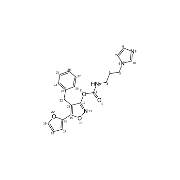 O=C(NCCCn1ccnc1)Oc1noc(-c2ccco2)c1Cc1ccccc1